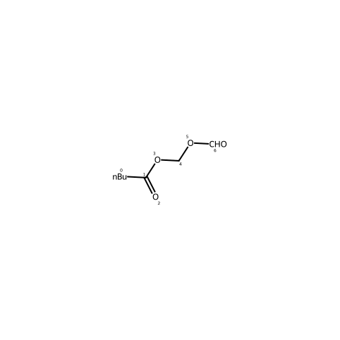 CCCCC(=O)OCOC=O